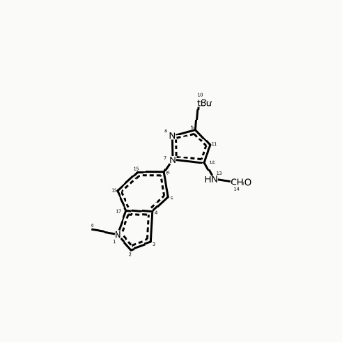 Cn1ccc2cc(-n3nc(C(C)(C)C)cc3NC=O)ccc21